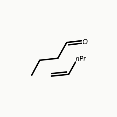 C=CCCC.CCCC=O